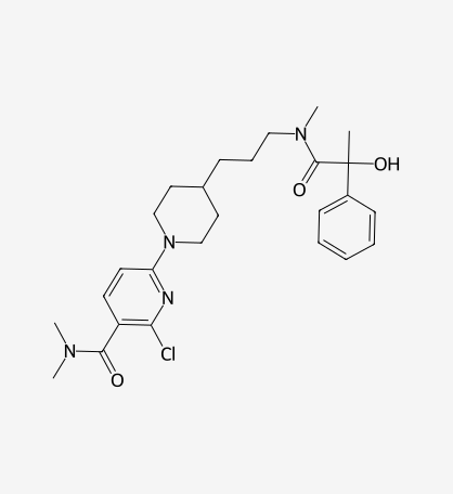 CN(C)C(=O)c1ccc(N2CCC(CCCN(C)C(=O)C(C)(O)c3ccccc3)CC2)nc1Cl